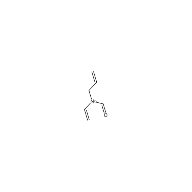 C=CC[N+](C=C)C=O